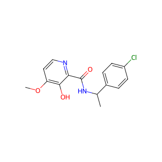 COc1ccnc(C(=O)NC(C)c2ccc(Cl)cc2)c1O